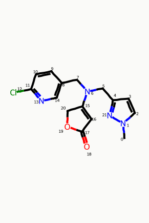 Cn1ccc(CN(Cc2ccc(Cl)nc2)C2=CC(=O)OC2)n1